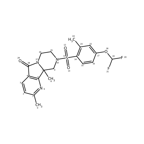 Cc1ccc2c(n1)C1(C)CN(S(=O)(=O)c3ccc(OC(F)F)cc3C)CCN1C2=O